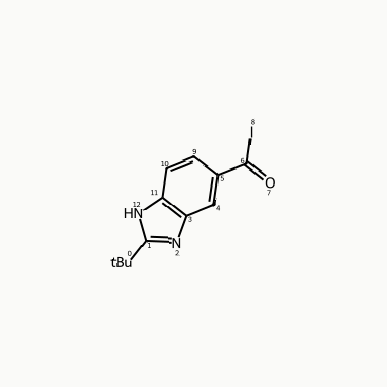 CC(C)(C)c1nc2cc(C(=O)I)ccc2[nH]1